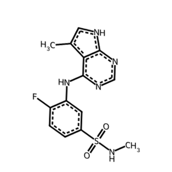 CNS(=O)(=O)c1ccc(F)c(Nc2ncnc3[nH]cc(C)c23)c1